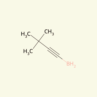 BC#CC(C)(C)C